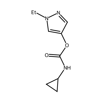 CCn1cc(OC(=O)NC2CC2)cn1